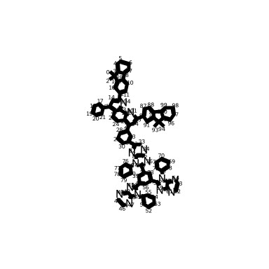 CC1(C)c2ccccc2-c2ccc(-c3cc(-c4ccccc4)c4ccc5c(-c6cccc(-c7cnc8nc(-c9cc(-c%10nc%11nccnc%11n%10-c%10ccccc%10)cc(-c%10nc%11nccnc%11n%10-c%10ccccc%10)c9)n(-c9ccccc9)c8n7)c6)cc(-c6ccc7c(c6)C(C)(C)c6ccccc6-7)nc5c4n3)cc21